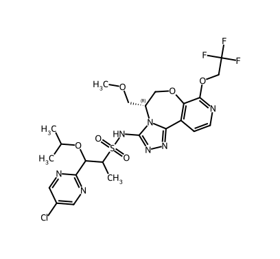 COC[C@@H]1COc2c(ccnc2OCC(F)(F)F)-c2nnc(NS(=O)(=O)C(C)C(OC(C)C)c3ncc(Cl)cn3)n21